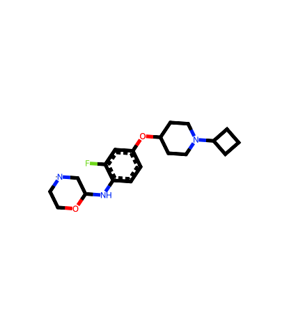 Fc1cc(OC2CCN(C3CCC3)CC2)ccc1NC1C[N]CCO1